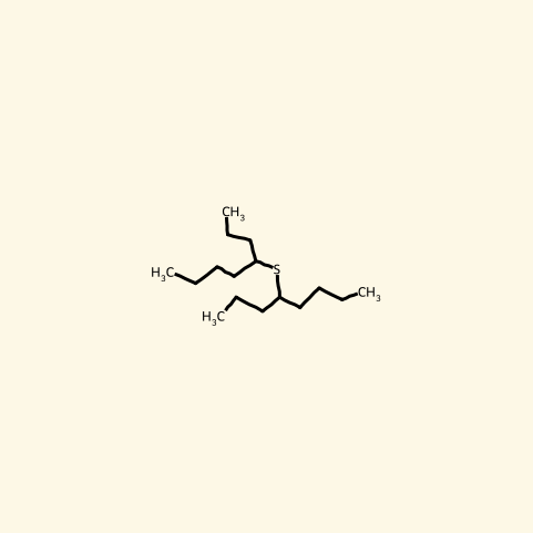 CCCCC(CCC)SC(CCC)CCCC